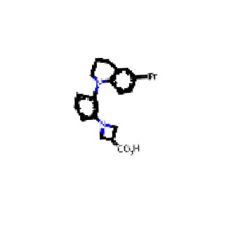 CC(C)c1ccc2c(c1)CCCN2c1cccc(N2CC(C(=O)O)C2)c1